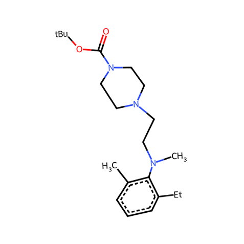 CCc1cccc(C)c1N(C)CCN1CCN(C(=O)OC(C)(C)C)CC1